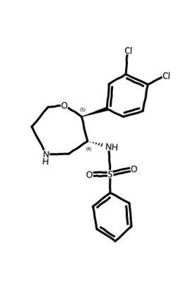 O=S(=O)(N[C@@H]1CNCCO[C@H]1c1ccc(Cl)c(Cl)c1)c1ccccc1